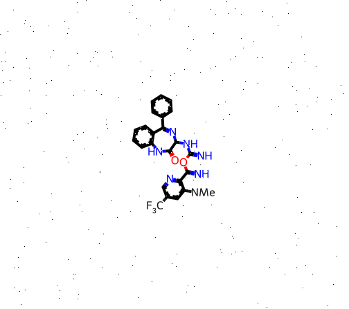 CNc1cc(C(F)(F)F)cnc1C(=N)OC(=N)NC1N=C(c2ccccc2)c2ccccc2NC1=O